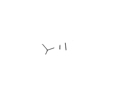 CCCCCC.CCO.ClC(Cl)Cl